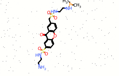 CP(C)NCCNS(=O)(=O)Cc1ccc2oc3ccc(S(=O)(=O)NCCN)cc3c(=O)c2c1